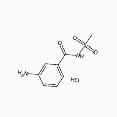 CS(=O)(=O)NC(=O)c1cccc(N)c1.Cl